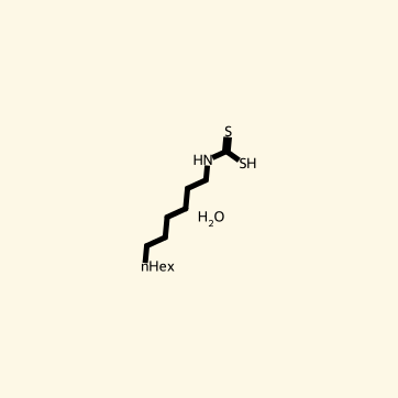 CCCCCCCCCCCCNC(=S)S.O